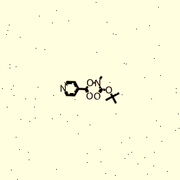 CN(OC(=O)c1ccncc1)C(=O)OC(C)(C)C